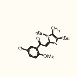 CCCCN1C(=CC(=O)c2cc(Cl)ccc2OC)SC(C(C)(C)C)=C1C